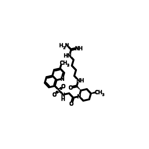 Cc1cnc2c(S(=O)(=O)NCC(=O)N3CC[C@H](C)C[C@H]3C(=O)NCCCCNC(=N)N)cccc2c1